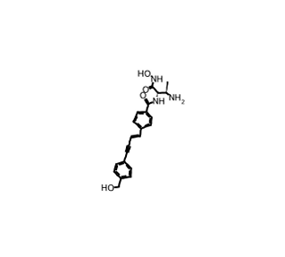 C[C@@H](N)[C@H](NC(=O)c1ccc(/C=C/C#Cc2ccc(CO)cc2)cc1)C(=O)NO